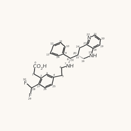 O=C(O)Cc1cc(CCN[C@H](c2ccccc2)[C@H]2CNc3cccnc3C2)ccc1C(F)F